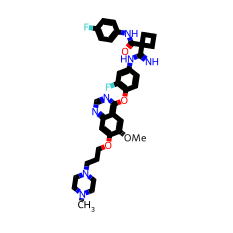 COc1cc2c(Oc3ccc(NC(=N)C4(C(=O)Nc5ccc(F)cc5)CCC4)cc3F)ncnc2cc1OCCCN1CCN(C)CC1